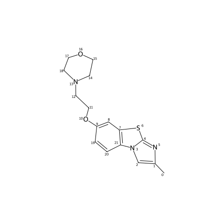 Cc1cn2c(n1)sc1cc(OCCN3CCOCC3)ccc12